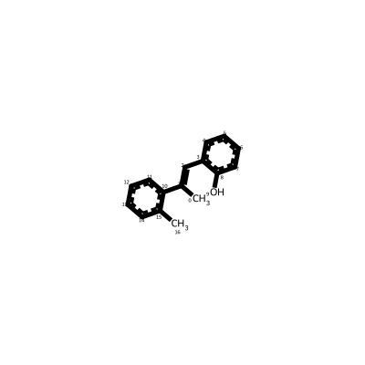 CC(=Cc1ccccc1O)c1ccccc1C